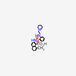 CC1=CCCc2ccc(NS(=O)(=O)c3ccccc3NCCN3CCCCC3)c(C(=O)O)c21